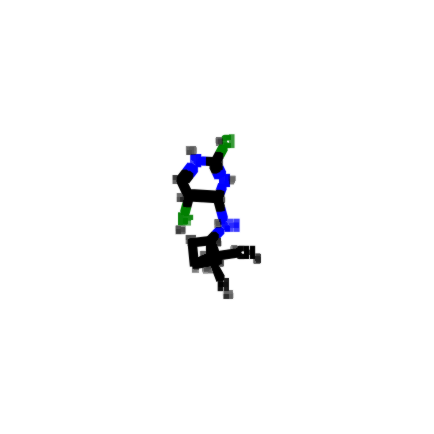 C[C@@H]1C2CC1(Nc1nc(Cl)ncc1Br)C2